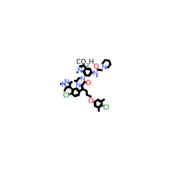 Cc1cc(OCCCc2c3n(c4c(-c5c(C)nn(C)c5C)c(Cl)ccc24)C(C)CN(c2cc(N(C)C(=O)CN4CCCCC4)cc4c(C(=O)O)cn(C)c24)C3=O)cc(C)c1Cl